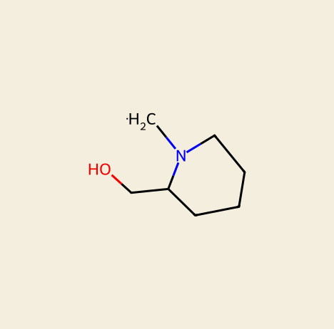 [CH2]N1CCCCC1CO